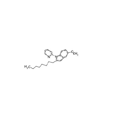 CCCCCCCCc1cc2cc(OC)ccc2n1-c1ccccn1